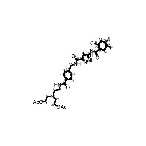 CC(=O)OCCN(CCNC(=O)c1ccc(CNC(=O)c2cc(NC(=O)c3cc(F)c(F)cc3Cl)[nH]n2)cc1)CCOC(C)=O